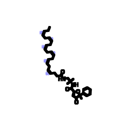 CC/C=C\C/C=C\C/C=C\C/C=C\C/C=C\C/C=C\CCC(=O)NCC(C)(C)NC(=O)C1=CC(=O)C(C)(c2ccccc2)O1